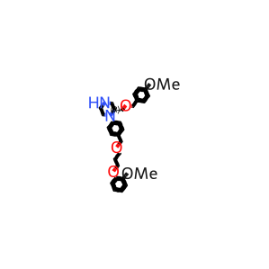 COc1ccc(COC[C@H]2CNCCN2c2ccc(COCCCOc3ccccc3OC)cc2)cc1